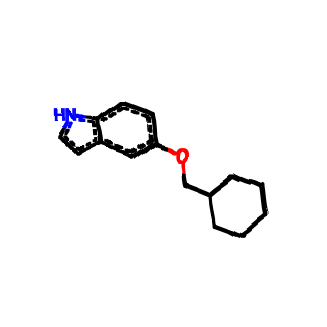 c1cc2cc(OCC3CCCCC3)ccc2[nH]1